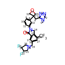 Cn1cnnc1CC1(c2cccc(N3Cc4c(cc(CN5C[C@@H](F)[C@@H](F)C5)cc4C(F)(F)F)C3=O)c2)COC1